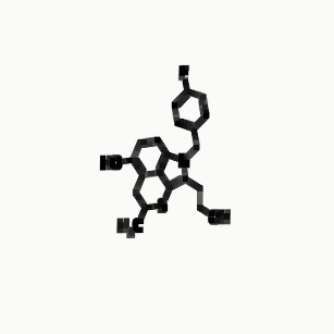 CC1Cc2c(O)ccc3c2c(c(CCO)n3Cc2ccc(F)cc2)S1